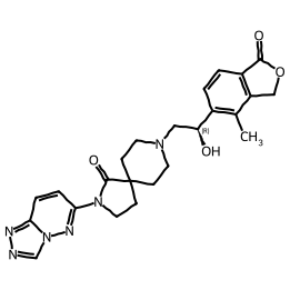 Cc1c([C@@H](O)CN2CCC3(CC2)CCN(c2ccc4nncn4n2)C3=O)ccc2c1COC2=O